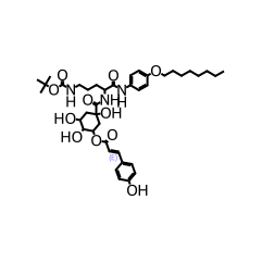 CCCCCCCCOc1ccc(NC(=O)C(CCCNC(=O)OC(C)(C)C)NC(=O)C2(O)CC(O)C(O)C(OC(=O)/C=C/c3ccc(O)cc3)C2)cc1